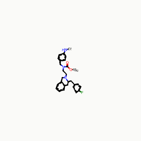 CCNc1ccc(CN(CCN2Cc3ccccc3CC2Cc2ccc(F)cc2)C(=O)OC(C)(C)C)cc1